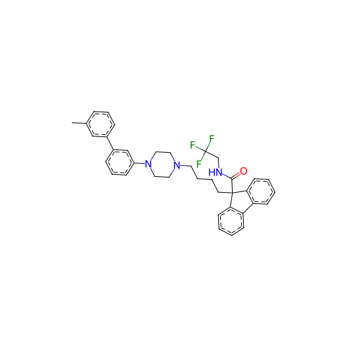 Cc1cccc(-c2cccc(N3CCN(CCCCC4(C(=O)NCC(F)(F)F)c5ccccc5-c5ccccc54)CC3)c2)c1